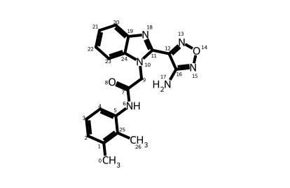 Cc1cccc(NC(=O)Cn2c(-c3nonc3N)nc3ccccc32)c1C